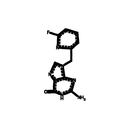 Nc1nc2c(ncn2Cc2cccc(F)n2)c(=O)[nH]1